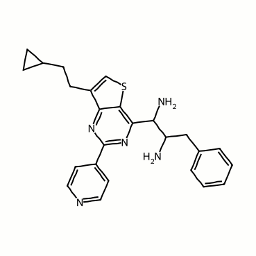 NC(Cc1ccccc1)C(N)c1nc(-c2ccncc2)nc2c(CCC3CC3)csc12